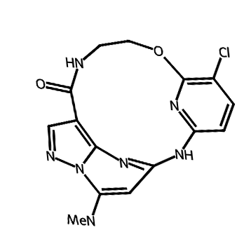 CNc1cc2nc3c(cnn13)C(=O)NCCOc1nc(ccc1Cl)N2